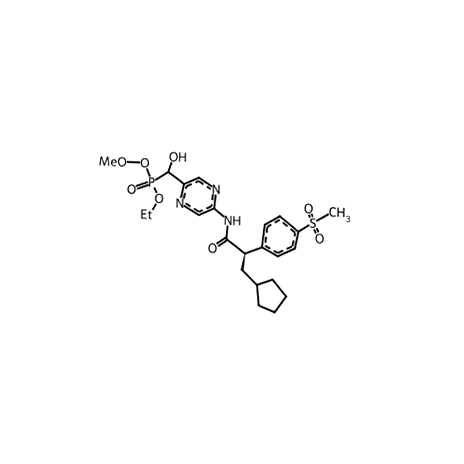 CCOP(=O)(OOC)C(O)c1cnc(NC(=O)[C@H](CC2CCCC2)c2ccc(S(C)(=O)=O)cc2)cn1